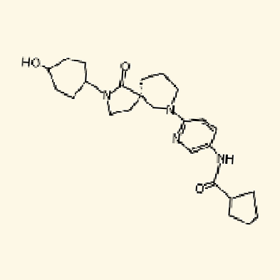 O=C(Nc1ccc(N2CCC[C@@]3(CCN(C4CCC(O)CC4)C3=O)C2)nc1)C1CCCC1